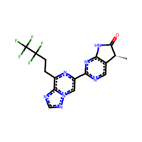 C[C@H]1C(=O)Nc2nc(-c3cn4ncnc4c(CCC(F)(F)C(F)(F)F)n3)ncc21